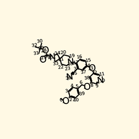 COc1ccc(COc2cncc(Oc3ccc(N4CCC5(CC4)CN(C(=O)OC(C)(C)C)C5)c(C#N)c3)c2)cc1